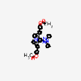 CC1OC1Oc1ccc(-c2ccc3c(c2)-c2cccc4c2B3c2cc(-c3nc(-c5ccccc5)nc(-c5ccccc5)n3)cc3c2N4c2cccc4c2B3c2ccc(-c3ccc(OC5OC5C)cc3)cc2-4)cc1